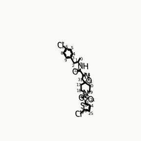 CC(Cc1ccc(Cl)cc1)NC(=O)C1=NOC2(CCN(S(=O)(=O)c3ccc(Cl)s3)CC2)C1